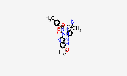 COc1ccc2ncc(NC(=O)NS(=O)(=O)c3ccc(C)cc3)c(Nc3ccc(C(C)(C)C#N)cc3)c2c1